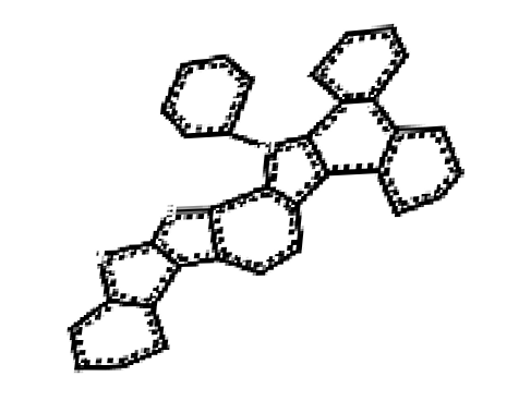 c1ccc(-n2c3c(ccc4c3sc3sc5ccccc5c34)c3c4ccccc4c4ccccc4c32)cc1